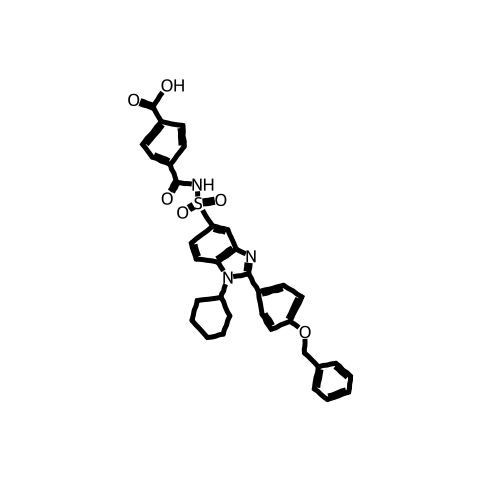 O=C(O)c1ccc(C(=O)NS(=O)(=O)c2ccc3c(c2)nc(-c2ccc(OCc4ccccc4)cc2)n3C2CCCCC2)cc1